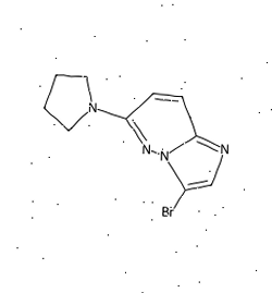 Brc1cnc2ccc(N3CCCC3)nn12